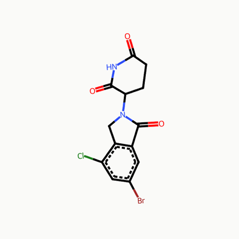 O=C1CCC(N2Cc3c(Cl)cc(Br)cc3C2=O)C(=O)N1